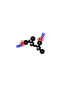 CCC(CCCC(CC(CC)c1ccccc1)c1ccc(S(=O)(=O)ON=[N+]=[N-])cc1)CC(CC(C)c1ccc(S(=O)(=O)ON=[N+]=[N-])cc1)c1ccccc1